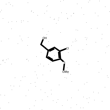 COSc1ccc(CO)cc1Cl